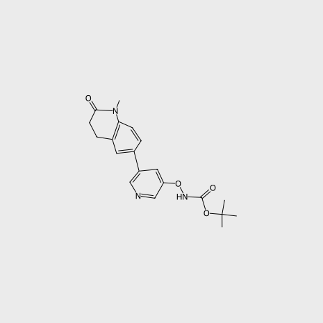 CN1C(=O)CCc2cc(-c3cncc(ONC(=O)OC(C)(C)C)c3)ccc21